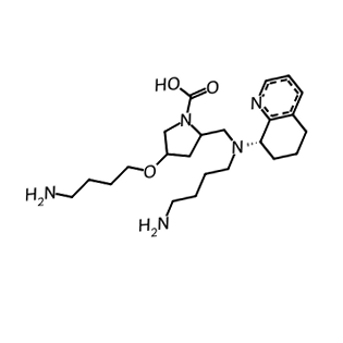 NCCCCOC1CC(CN(CCCCN)[C@H]2CCCc3cccnc32)N(C(=O)O)C1